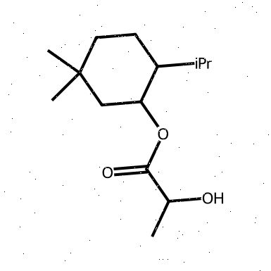 CC(O)C(=O)OC1CC(C)(C)CCC1C(C)C